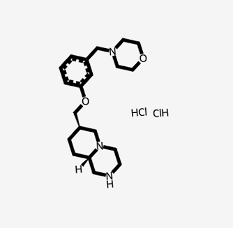 Cl.Cl.c1cc(CN2CCOCC2)cc(OC[C@@H]2CC[C@H]3CNCCN3C2)c1